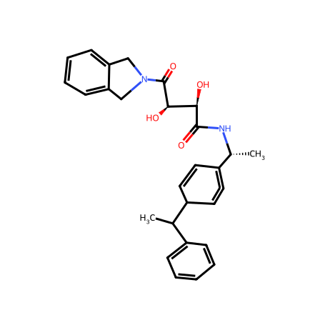 CC(c1ccccc1)C1C=C=C([C@@H](C)NC(=O)[C@H](O)[C@@H](O)C(=O)N2Cc3ccccc3C2)C=C1